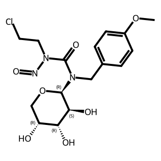 COc1ccc(CN(C(=O)N(CCCl)N=O)[C@@H]2OC[C@@H](O)[C@@H](O)[C@@H]2O)cc1